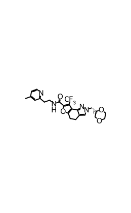 Cc1ccnc(CCNC(=O)c2oc3c(c2C(F)(F)F)-c2nn(C[C@H]4COCCO4)cc2CC3)c1